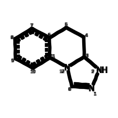 C1=NNC2CCc3ccccc3N12